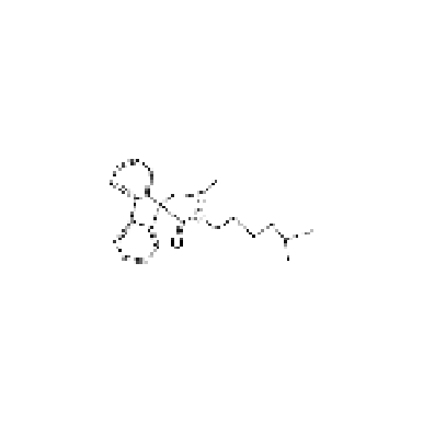 COCC1(C(=O)OCCCCC(C)C)c2ccccc2-c2ccccc21